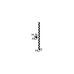 CC(C)(O)CN.CCCCCCCCCCCCCCCCCCCCCC(=O)O